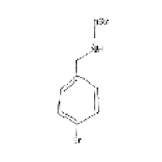 CCCCNCc1ccc(Br)cc1